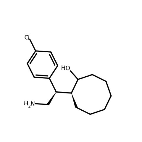 NC[C@@H](c1ccc(Cl)cc1)[C@@H]1CCCCCCC1O